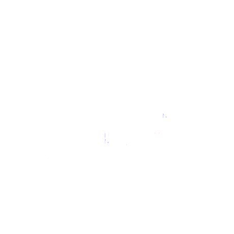 O=C(NC1CCCc2occc21)C1CC(c2cc(F)ccc2F)=NO1